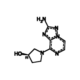 Nc1nc2c(N3CC[C@@H](O)C3)nccn2n1